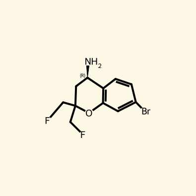 N[C@@H]1CC(CF)(CF)Oc2cc(Br)ccc21